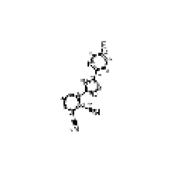 N#Cc1cccc(-c2nc(-c3ccc(F)cn3)no2)c1C#N